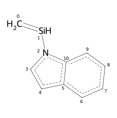 C=[SiH]n1ccc2ccccc21